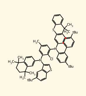 Cc1cc(N(c2ccc3c(c2)Sc2ccccc2C3(C)C)c2ccc(C(C)(C)C)cc2-c2ccc(C(C)(C)C)cc2)c(Cl)c(N(c2ccc3c(c2)C(C)(C)CCC3(C)C)c2csc3ccc(C(C)(C)C)cc23)c1